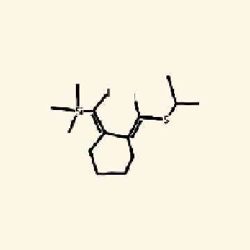 CC(C)S/C(I)=C1\CCCC\C1=C(\I)[Si](C)(C)C